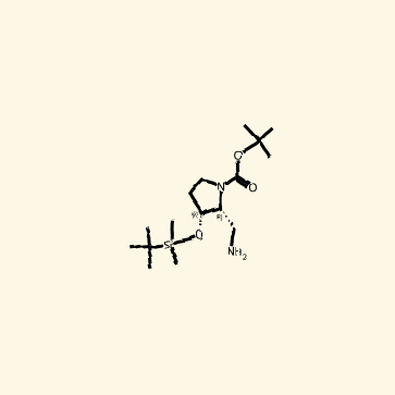 CC(C)(C)OC(=O)N1CC[C@@H](O[Si](C)(C)C(C)(C)C)[C@H]1CN